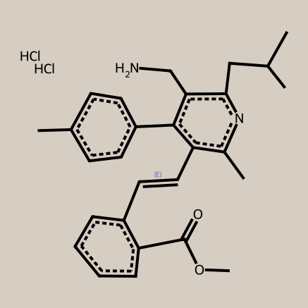 COC(=O)c1ccccc1/C=C/c1c(C)nc(CC(C)C)c(CN)c1-c1ccc(C)cc1.Cl.Cl